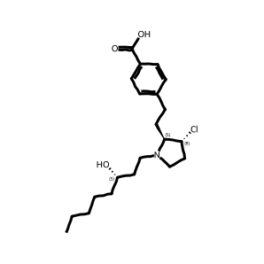 CCCCC[C@H](O)CCN1CC[C@@H](Cl)[C@@H]1CCc1ccc(C(=O)O)cc1